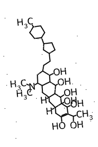 CC1CCC(C2CCC(CCC3CC(N(C)C)C4C[C@H]5C[C@H]6CC(O)=C(C(C)O)C(O)[C@@]6(O)C(O)C5C(O)C4C3O)C2)CC1